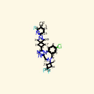 CC1(N2Cc3cc(Cl)ccc3-n3c(nnc3C3CC4(C3)CN(c3ccc(C(F)(F)F)c(F)n3)C4)C2)CC(F)(F)C1